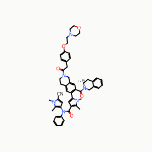 Cc1c(N(C(=O)c2cc(-c3cc4c(cc3C(=O)N3Cc5ccccc5C[C@H]3C)CN(C(=O)Cc3ccc(OCCN5CCOCC5)cc3)CC4)n(C)c2C)c2ccccc2)cc(C#N)n1C